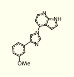 COc1cccc(-c2cn(-c3ccnc4[nH]ccc34)cn2)c1